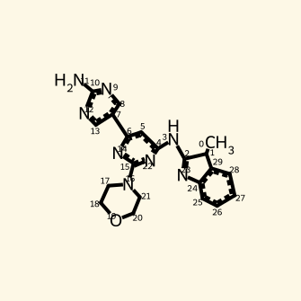 CC1C(Nc2cc(-c3cnc(N)nc3)nc(N3CCOCC3)n2)=Nc2ccccc21